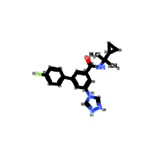 CC(C)(NC(=O)c1cc(-c2ccc(F)cc2)cc(-n2cnnc2)c1)C1CC1